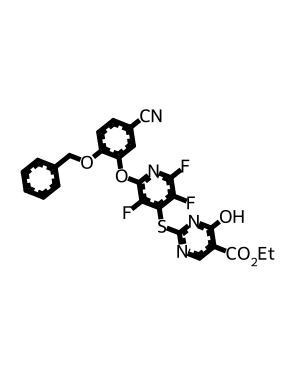 CCOC(=O)c1cnc(Sc2c(F)c(F)nc(Oc3cc(C#N)ccc3OCc3ccccc3)c2F)nc1O